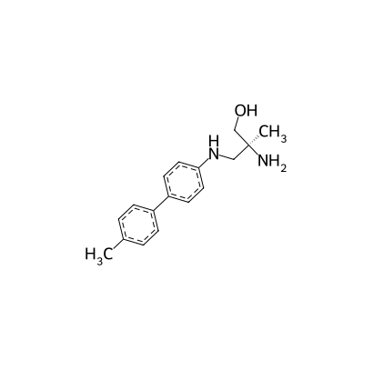 Cc1ccc(-c2ccc(NC[C@](C)(N)CO)cc2)cc1